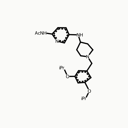 CC(=O)Nc1ccc(NC2CCN(Cc3cc(OC(C)C)cc(OC(C)C)c3)CC2)cn1